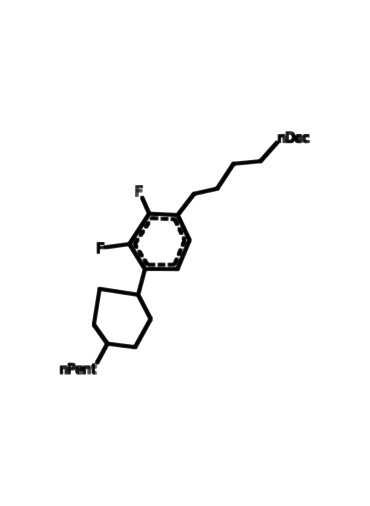 CCCCCCCCCCCCCCc1ccc(C2CCC(CCCCC)CC2)c(F)c1F